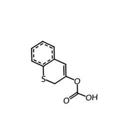 O=C(O)OC1=Cc2ccccc2SC1